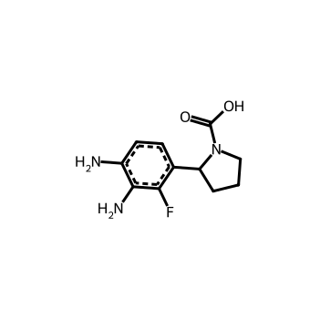 Nc1ccc(C2CCCN2C(=O)O)c(F)c1N